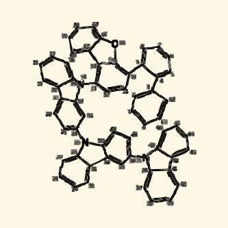 c1ccc(-c2ccccc2-c2ccc(-n3c4ccccc4c4ccc(-n5c6ccccc6c6cc(-n7c8ccccc8c8ccccc87)ccc65)cc43)c3c2oc2ccccc23)cc1